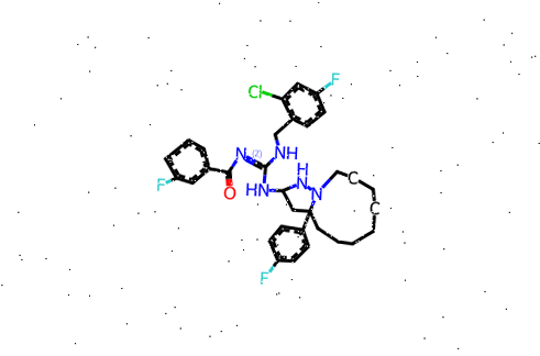 O=C(/N=C(/NCc1ccc(F)cc1Cl)NC1CC2(c3ccc(F)cc3)CCCCCCCCN2N1)c1cccc(F)c1